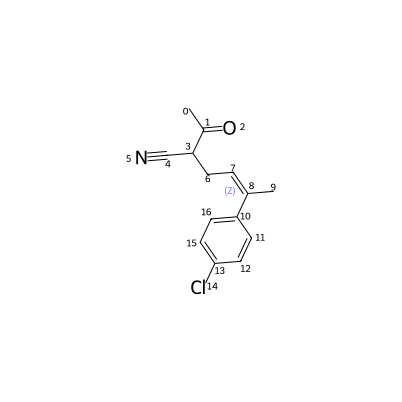 CC(=O)C(C#N)C/C=C(/C)c1ccc(Cl)cc1